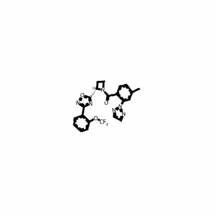 Cc1ccc(C(=O)N2CC[C@H]2c2nc(-c3ccccc3OC(F)(F)F)no2)c(-n2nccn2)c1